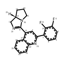 Fc1cccc(-c2cc(C3=NC[C@@H]4CCCN34)c3ccccc3n2)c1F